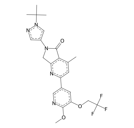 COc1ncc(-c2cc(C)c3c(n2)CN(c2cnn(C(C)(C)C)c2)C3=O)cc1OCC(F)(F)F